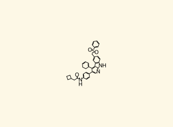 O=C(CC1CCC1)Nc1ccc(-c2cnc3[nH]c4ccc(CS(=O)(=O)c5ccccc5)cc4c3c2C2=CC=CCC2)cc1